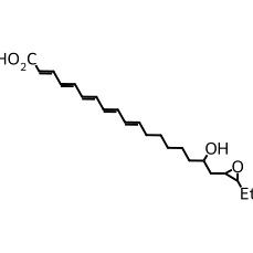 CCC1OC1CC(O)CCCCC/C=C/C=C/C=C/C=C/C=C/C(=O)O